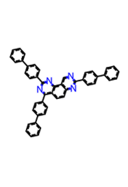 c1ccc(-c2ccc(-c3ncc4c(ccc5c(-c6ccc(-c7ccccc7)cc6)nc(-c6ccc(-c7ccccc7)cc6)nc54)n3)cc2)cc1